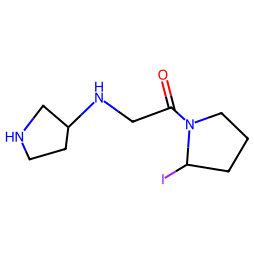 O=C(CNC1CCNC1)N1CCCC1I